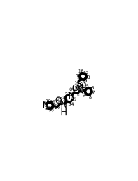 C[C@@H](CN(c1ccccc1)S(=O)(=O)Cc1ccccc1)N1CCC(NC(=O)Cc2ccncc2)CC1